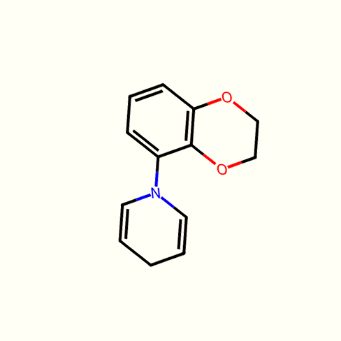 C1=CN(c2cccc3c2OCCO3)C=CC1